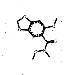 COc1cc2c(cc1C(=O)N(C)OC)OCO2